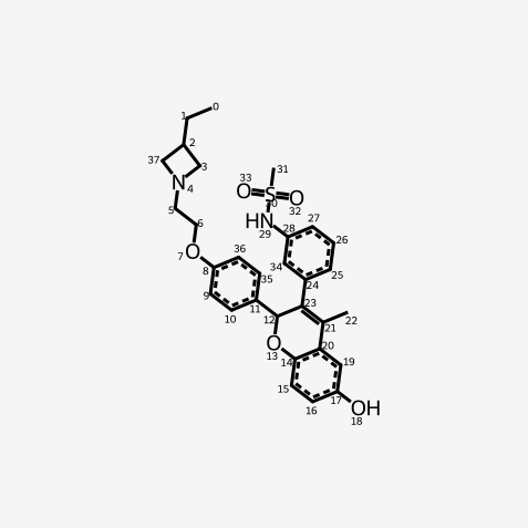 CCC1CN(CCOc2ccc(C3Oc4ccc(O)cc4C(C)=C3c3cccc(NS(C)(=O)=O)c3)cc2)C1